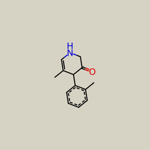 CC1=CNCC(=O)C1c1ccccc1C